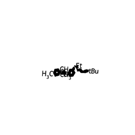 CCN(C/C=C/C#CC(C)(C)C)Cc1cccc(OC[Si](C)(C)c2ccc(C)cc2)c1